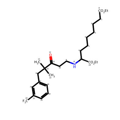 CCOC(=O)CCCCCCC(NCCC(=O)C(C)(C)Cc1cccc(C(F)(F)F)c1)C(=O)OCC